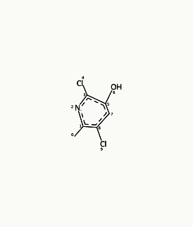 Cc1nc(Cl)c(O)cc1Cl